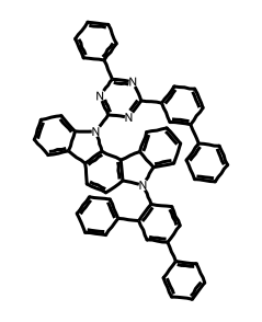 c1ccc(-c2cccc(-c3nc(-c4ccccc4)nc(-n4c5ccccc5c5ccc6c(c7ccccc7n6-c6ccc(-c7ccccc7)cc6-c6ccccc6)c54)n3)c2)cc1